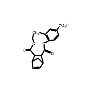 O=C(O)c1ccc(OC(=O)C2C3C=CC(C3)C2C(=O)OCC(F)(F)F)c(I)c1